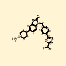 CN1CCC(c2ccc3c(c2)sc(=O)n3Cc2ccc(-c3nnc(C(F)F)o3)cn2)CC1